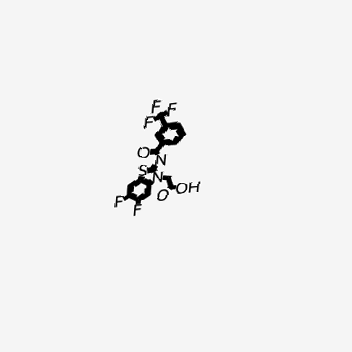 O=C(O)Cn1/c(=N/C(=O)c2cccc(C(F)(F)F)c2)sc2cc(F)c(F)cc21